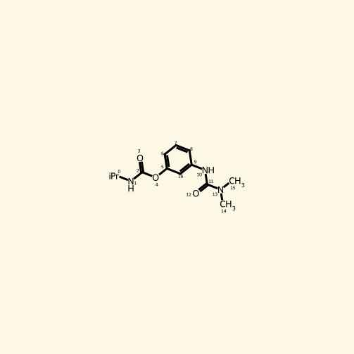 CC(C)NC(=O)Oc1cccc(NC(=O)N(C)C)c1